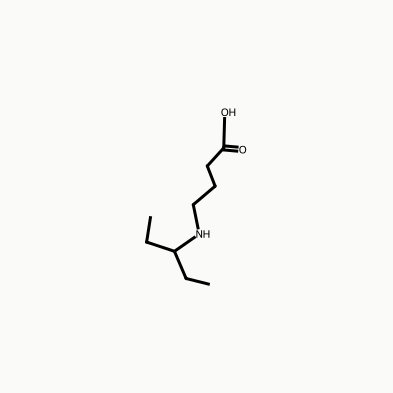 CCC(CC)NCCCC(=O)O